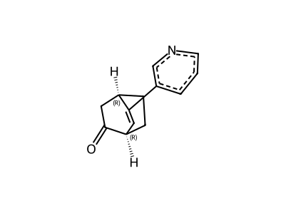 O=C1C[C@H]2CC[C@@H]1C=C2c1cccnc1